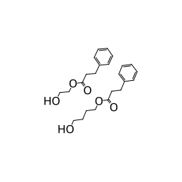 O=C(CCc1ccccc1)OCCCCO.O=C(CCc1ccccc1)OCCO